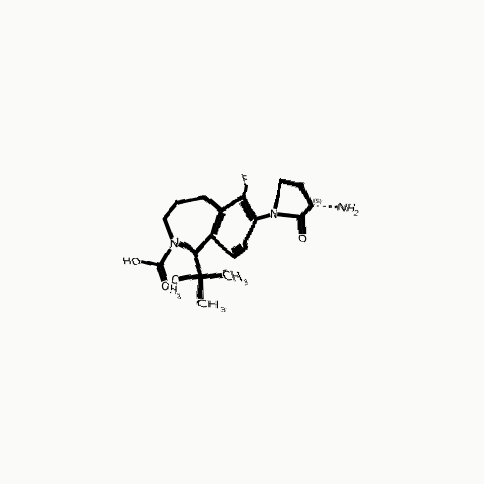 CC(C)(C)C1c2ccc(N3CC[C@H](N)C3=O)c(F)c2CCCN1C(=O)O